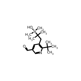 CC(C)(C)c1ncc(C=O)cc1CC(C)(C)[Si](C)(C)O